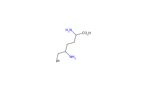 CC(C)CC(N)CCC(N)C(=O)O